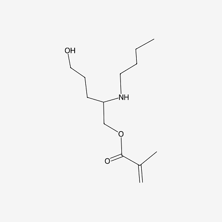 C=C(C)C(=O)OCC(CCCO)NCCCC